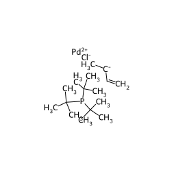 C=C[CH-]C.CC(C)(C)P(C(C)(C)C)C(C)(C)C.[Cl-].[Pd+2]